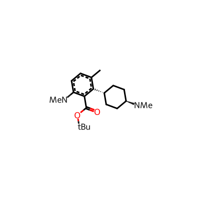 CNc1ccc(C)c([C@H]2CC[C@H](NC)CC2)c1C(=O)OC(C)(C)C